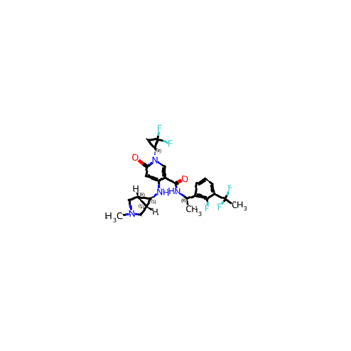 C[C@@H](NC(=O)c1cn([C@@H]2CC2(F)F)c(=O)cc1N[C@H]1[C@@H]2CN(C)C[C@@H]21)c1cccc(C(C)(F)F)c1F